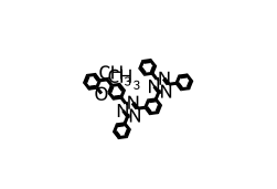 CC1(C)c2ccccc2Oc2cc(-c3nc(-c4ccccc4)nc(-c4cccc(-c5nc(-c6ccccc6)nc(-c6ccccc6)n5)c4)n3)ccc21